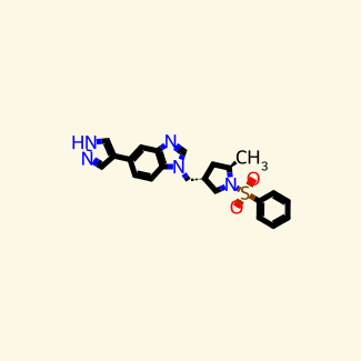 C[C@@H]1C[C@@H](Cn2cnc3cc(-c4cn[nH]c4)ccc32)CN1S(=O)(=O)c1ccccc1